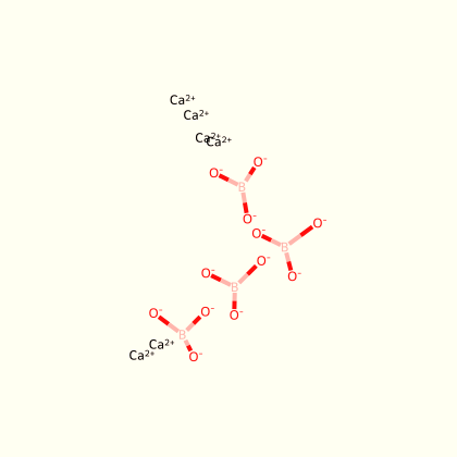 [Ca+2].[Ca+2].[Ca+2].[Ca+2].[Ca+2].[Ca+2].[O-]B([O-])[O-].[O-]B([O-])[O-].[O-]B([O-])[O-].[O-]B([O-])[O-]